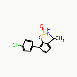 CC1NS(=O)Oc2c(-c3ccc(Cl)cc3)cccc21